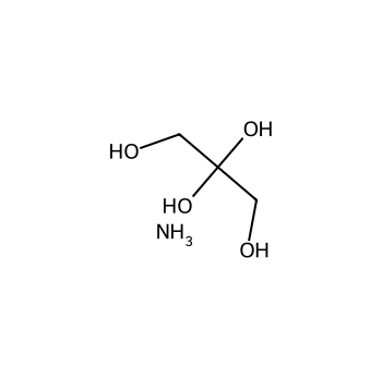 N.OCC(O)(O)CO